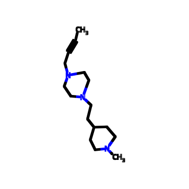 CC#CCN1CCN(CCC2CCN(C)CC2)CC1